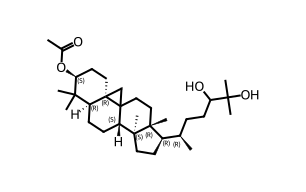 CC(=O)O[C@H]1CC[C@]23CC24CC[C@]2(C)[C@@H]([C@H](C)CCC(O)C(C)(C)O)CC[C@@]2(C)[C@@H]4CC[C@H]3C1(C)C